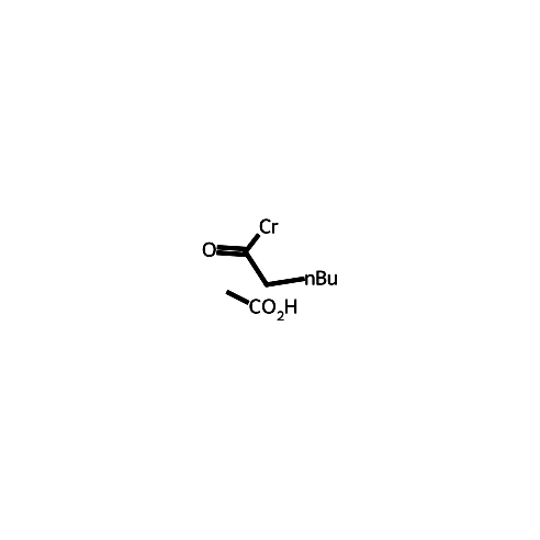 CC(=O)O.CCCCC[C](=O)[Cr]